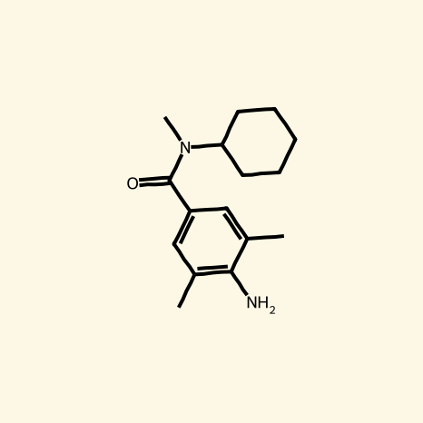 Cc1cc(C(=O)N(C)C2CCCCC2)cc(C)c1N